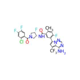 Cc1cc(F)c(-c2cc(C(F)(F)F)c3c(N)ncnn23)cc1C(=O)N[C@@H]1CN(C(=O)c2cc(F)c(F)cc2Cl)C[C@@H]1F